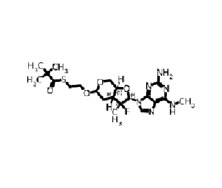 CNc1nc(N)nc2c1ncn2[C@@H]1O[C@@H]2COC(OCCSC(=O)C(C)(C)C)C[C@H]2[C@@]1(C)F